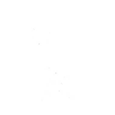 C[C@@H]1C[C@H](C)C[C@@](CNCCCc2ccccc2)(CC(=O)O)C1.Cl